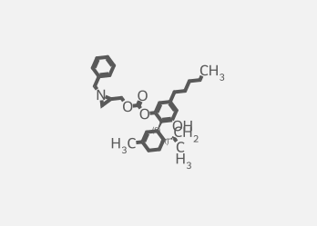 C=C(C)[C@@H]1CCC(C)=C[C@H]1c1c(O)cc(CCCCC)cc1OC(=O)OCC1CN1Cc1ccccc1